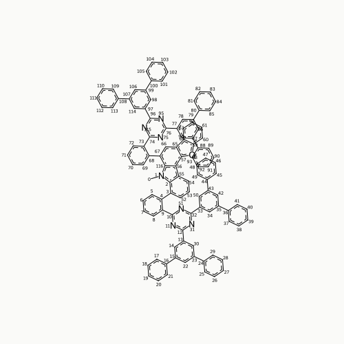 Cn1c2c(-c3ccccc3-c3nc(-c4cc(-c5ccccc5)cc(-c5ccccc5)c4)nc(-c4cc(-c5ccccc5)cc(-c5ccccc5)c4)n3)cccc2c2c3oc4ccccc4c3cc(-c3ccccc3-c3nc(-c4cc(-c5ccccc5)cc(-c5ccccc5)c4)nc(-c4cc(-c5ccccc5)cc(-c5ccccc5)c4)n3)c21